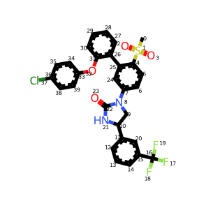 CS(=O)(=O)c1ccc(N2CC(c3cccc(C(F)(F)F)c3)NC2=O)cc1-c1ccccc1Oc1ccc(Cl)cc1